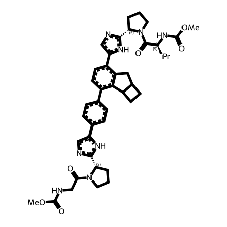 COC(=O)NCC(=O)N1CCC[C@H]1c1ncc(-c2ccc(-c3ccc(-c4cnc([C@@H]5CCCN5C(=O)[C@@H](NC(=O)OC)C(C)C)[nH]4)c4c3C3CCC3C4)cc2)[nH]1